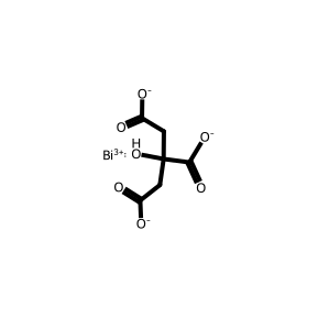 O=C([O-])CC(O)(CC(=O)[O-])C(=O)[O-].[Bi+3]